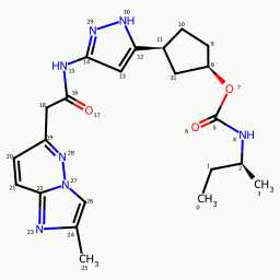 CC[C@H](C)NC(=O)O[C@@H]1CC[C@H](c2cc(NC(=O)Cc3ccc4nc(C)cn4n3)n[nH]2)C1